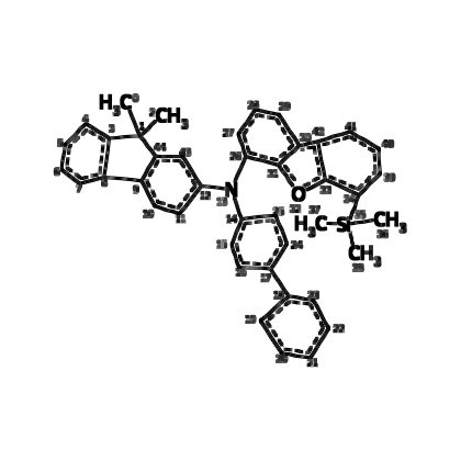 CC1(C)c2ccccc2-c2ccc(N(c3ccc(-c4ccccc4)cc3)c3cccc4c3oc3c([Si](C)(C)C)cccc34)cc21